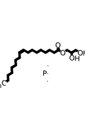 CCCCCCCC/C=C\CCCCCCCC(=O)OCC(O)CO.[P]